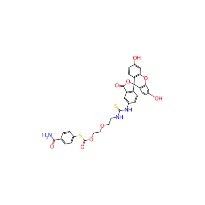 NC(=O)c1ccc(SC(=O)OCCOCCNC(=S)Nc2ccc3c(c2)C(=O)OC32c3ccc(O)cc3Oc3cc(O)ccc32)cc1